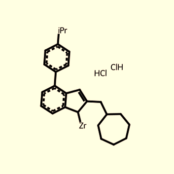 CC(C)c1ccc(-c2cccc3c2C=C(CC2CCCCCC2)[CH]3[Zr])cc1.Cl.Cl